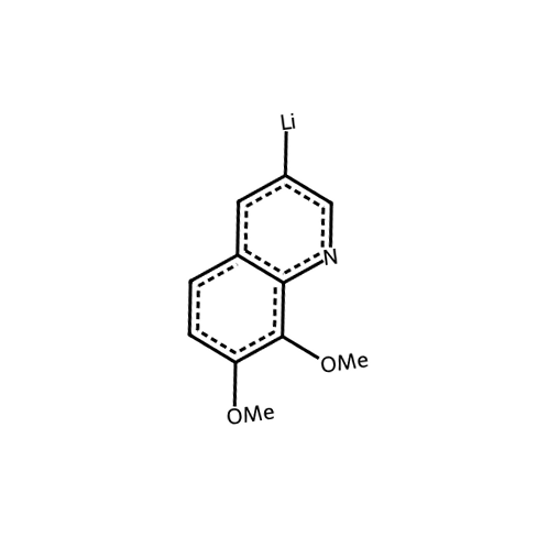 [Li][c]1cnc2c(OC)c(OC)ccc2c1